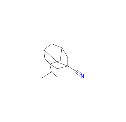 C[C](C)C12CC3CC(CC(C#N)(C3)C1)C2